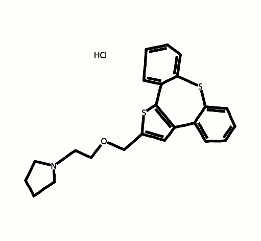 Cl.c1ccc2c(c1)Sc1ccccc1-c1sc(COCCN3CCCC3)cc1-2